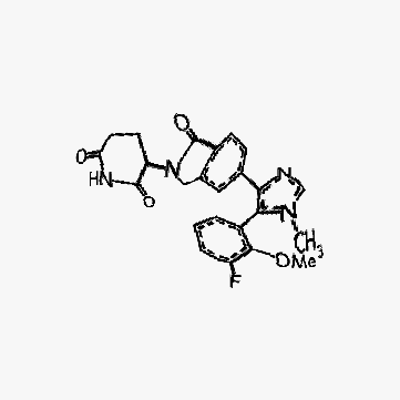 COc1c(F)cccc1-c1c(-c2ccc3c(c2)CN(C2CCC(=O)NC2=O)C3=O)ncn1C